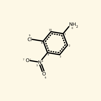 Nc1ccc([N+](=O)[O-])c(Cl)c1